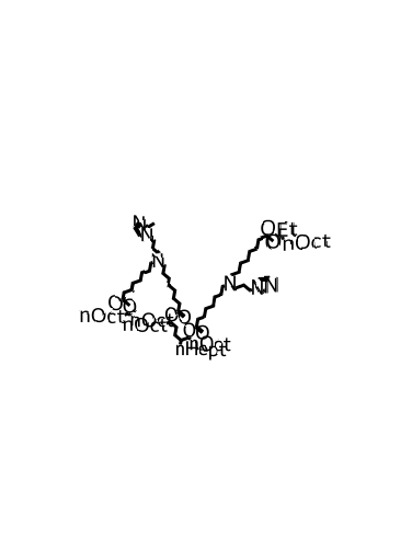 CCCCCCCCC(CC)OC(=O)CCCCCCCN(CCCCCCCC(=O)OC(CCCCCCCC)C(CCCCCCC)CCC(CCCCCCCC)OC(=O)CCCCCCCN(CCCCCCCC(=O)OC(CCCCCCCC)CCCCCCCC)CCCn1ccnc1C)CCCn1ccnc1